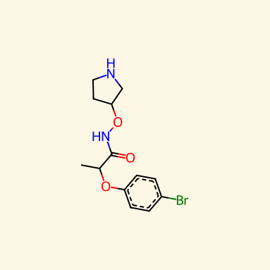 CC(Oc1ccc(Br)cc1)C(=O)NOC1CCNC1